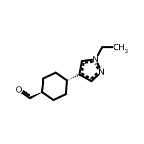 CCn1cc([C@H]2CC[C@H](C=O)CC2)cn1